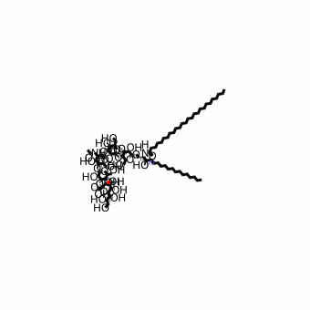 CCCCCCCCCCCCC/C=C/[C@@H](O)[C@H](CO[C@@H]1OC(CO)[C@@H](O[C@@H]2OC(CO)[C@H](O)[C@H](O[C@@H]3OC(CO)[C@@H](O[C@@H]4OC(CO)[C@H](O)[C@H](O[C@]5(C(=O)O)CC(O)[C@@H](O)C([C@H](O)[C@H](O)CO)O5)C4O)[C@H](O)C3NC(C)=O)C2O)[C@H](O)C1O)NC(=O)CCCCCCCCCCCCCCCCCCCCCCCCC